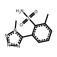 Cc1cccc(-c2nnnn2C)c1S(N)(=O)=O